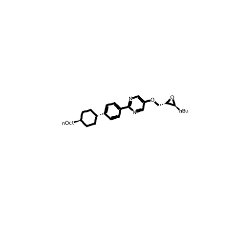 CCCCCCCC[C@H]1CC[C@H](c2ccc(-c3ncc(OC[C@@H]4O[C@H]4CCCC)cn3)cc2)CC1